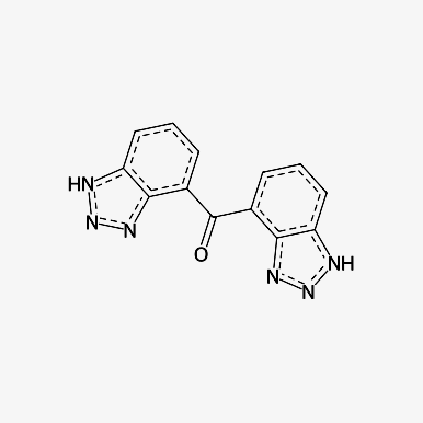 O=C(c1cccc2[nH]nnc12)c1cccc2[nH]nnc12